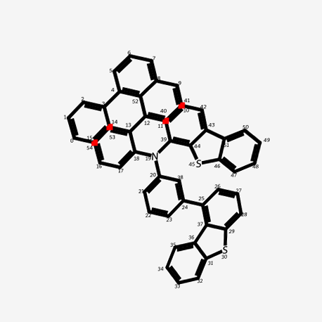 c1ccc(-c2cccc3cccc(-c4ccccc4N(c4cccc(-c5cccc6sc7ccccc7c56)c4)c4cccc5c4sc4ccccc45)c23)cc1